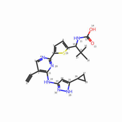 C#Cc1cnc(-c2ccc(C(NC(=O)O)C(C)(C)C)s2)nc1Nc1cc(C2CC2)[nH]n1